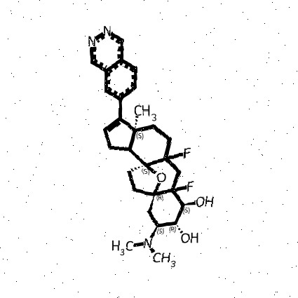 CN(C)[C@H]1C[C@@]23CC[C@]4(O2)C2CC=C(c5ccc6cnncc6c5)[C@@]2(C)CCC4(F)CC3(F)[C@@H](O)[C@@H]1O